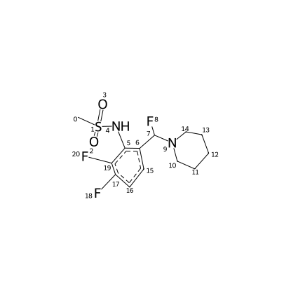 CS(=O)(=O)Nc1c(C(F)N2CCCCC2)ccc(F)c1F